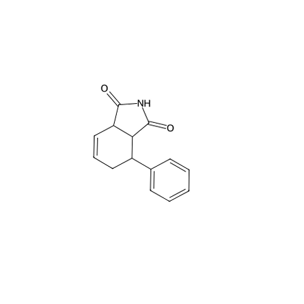 O=C1NC(=O)C2C1C=CCC2c1ccccc1